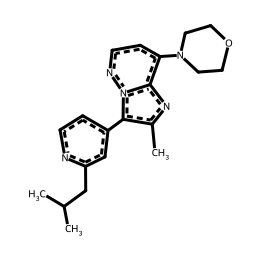 Cc1nc2c(N3CCOCC3)ccnn2c1-c1ccnc(CC(C)C)c1